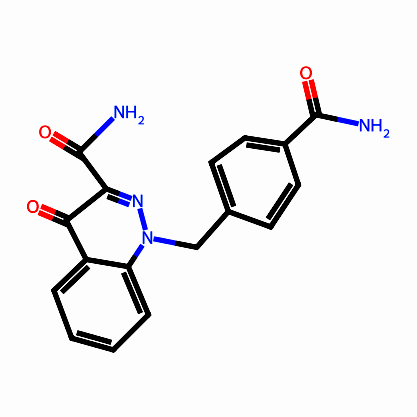 NC(=O)c1ccc(Cn2nc(C(N)=O)c(=O)c3ccccc32)cc1